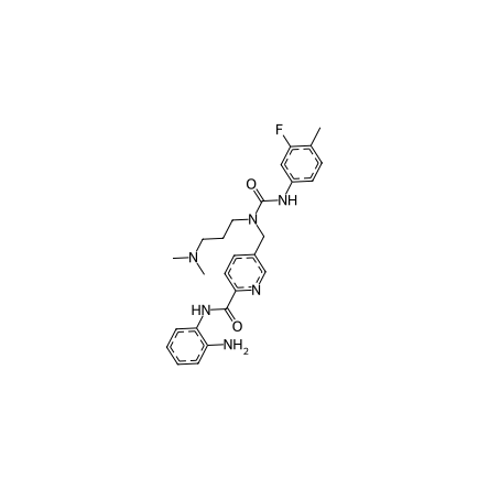 Cc1ccc(NC(=O)N(CCCN(C)C)Cc2ccc(C(=O)Nc3ccccc3N)nc2)cc1F